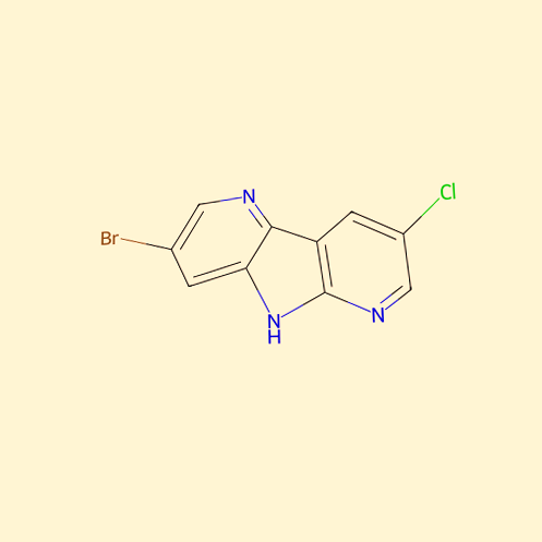 Clc1cnc2[nH]c3cc(Br)cnc3c2c1